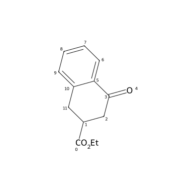 CCOC(=O)C1CC(=O)c2ccccc2C1